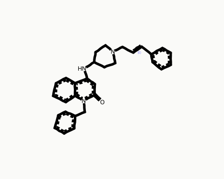 O=c1cc(NC2CCN(C/C=C/c3ccccc3)CC2)c2ccccc2n1Cc1ccccc1